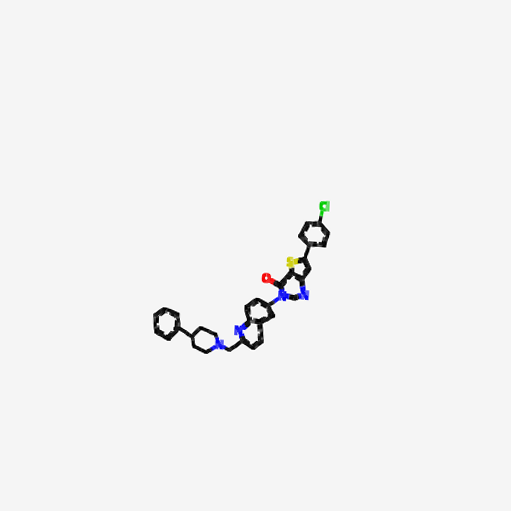 O=c1c2sc(-c3ccc(Cl)cc3)cc2ncn1-c1ccc2nc(CN3CCC(c4ccccc4)CC3)ccc2c1